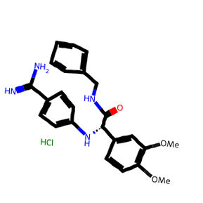 COc1ccc([C@H](Nc2ccc(C(=N)N)cc2)C(=O)NCc2ccccc2)cc1OC.Cl